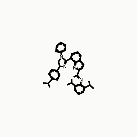 CC(=Nc1c(C(C)C)cccc1C(C)C)c1ccc2cccc(C3=NC(c4ccc(C(C)C)cc4)CN3c3ccccc3)c2n1